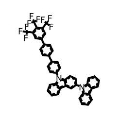 FC(F)(F)c1cc(-c2ccc(-c3ccc(-n4c5ccccc5c5cc(-n6c7ccccc7c7ccccc76)ccc54)cc3)cc2)cc(C(F)(F)F)c1C(F)(F)F